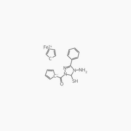 NN1C(c2ccccc2)=NN(C(=O)[c-]2cccc2)C1S.[Fe+2].c1cc[cH-]c1